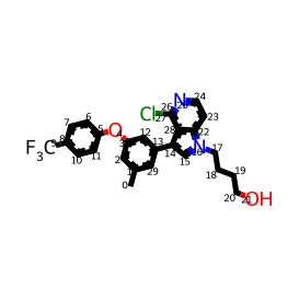 Cc1cc(Oc2ccc(C(F)(F)F)cc2)cc(-c2cn(CCCCO)c3ccnc(Cl)c23)c1